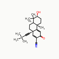 CC1(C)[C@@H](O)CC[C@]2(C)C3=CC(=O)C(C#N)=C[C@]3(C#C[Si](C)(C)C)CC[C@@H]12